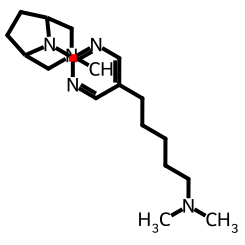 CN(C)CCCCCc1cnc(N2C3CCC2CN(C)C3)nc1